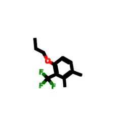 CCCOc1ccc(C)c(C)c1C(F)(F)F